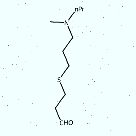 CCCN(C)CCCSCCC=O